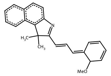 COC1C=CC=C/C1=C\C=C\C1=Nc2ccc3ccccc3c2C1(C)C